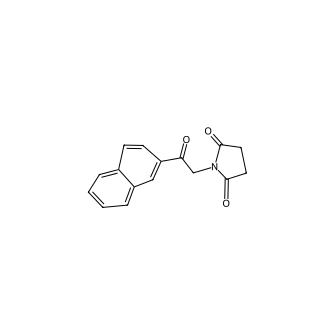 O=C(CN1C(=O)CCC1=O)c1ccc2ccccc2c1